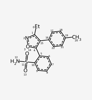 CCc1noc(-c2ccccc2S(N)(=O)=O)c1-c1ccc(C)cc1